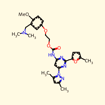 COc1ccc(OCCOC(=O)Nc2cc(-n3nc(C)cc3C)nc(-c3ccc(C)o3)n2)cc1CN(C)C